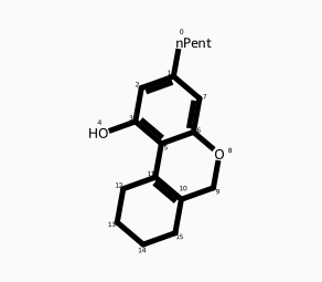 CCCCCc1cc(O)c2c(c1)OCC1=C2CCCC1